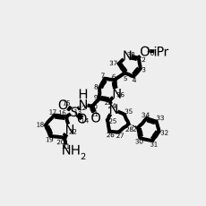 CC(C)Oc1ccc(-c2ccc(C(=O)NS(=O)(=O)c3cccc(N)n3)c(N3CCC[C@@H](c4ccccc4)C3)n2)cn1